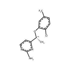 C[C@@H](Oc1cc(C(F)(F)F)ccc1Cl)c1ccnc(N)n1